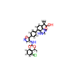 CC(OC(=O)Nc1cnoc1-c1ccc(-c2ccc(C3(C(=O)O)CC3)c3nc[nH]c23)cc1)c1ccccc1Cl